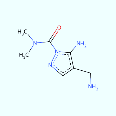 CN(C)C(=O)n1ncc(CN)c1N